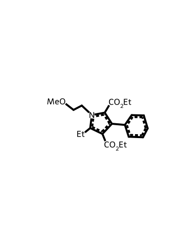 CCOC(=O)c1c(-c2ccccc2)c(C(=O)OCC)n(CCOC)c1CC